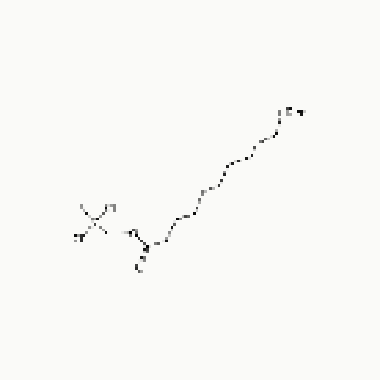 CCCCCCCCCCCCCCCCCCCC(=O)OCS(C)(Cl)Cl